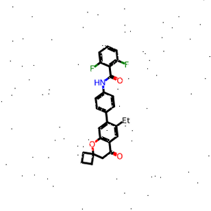 CCc1cc2c(cc1-c1ccc(NC(=O)c3c(F)cccc3F)cc1)OC1(CCC1)CC2=O